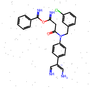 N=C/C(=C\N)c1ccc(N(Cc2cccc(Cl)c2)C(=O)CC(=N)OC(=N)c2ccccc2)cc1